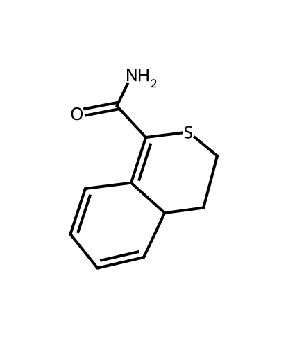 NC(=O)C1=C2C=CC=CC2CCS1